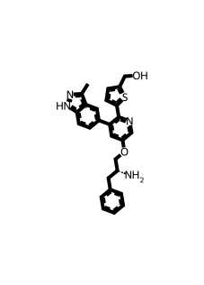 Cc1n[nH]c2ccc(-c3cc(OC[C@H](N)Cc4ccccc4)cnc3-c3ccc(CO)s3)cc12